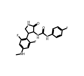 CNc1cc(F)c(C2CNC(=O)C2NC(=O)Nc2ccc(F)cc2)c(F)c1